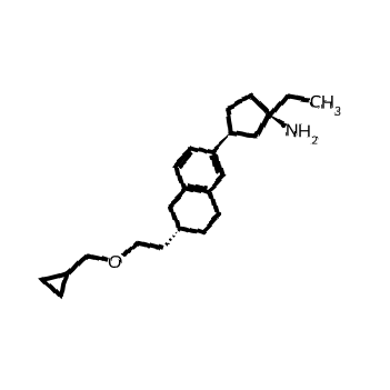 CC[C@@]1(N)CC[C@H](c2ccc3c(c2)CC[C@H](CCOCC2CC2)C3)C1